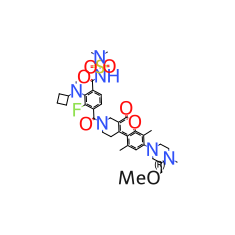 COC[C@H]1CN(c2cc(C)c3c4c(c(=O)oc3c2C)CN(C(=O)c2ccc(C(=O)NS(=O)(=O)N(C)C)c(N(C)C3CCC3)c2F)CC4)CCN1C